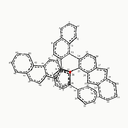 c1ccc(-c2ccc3ccccc3c2-c2ccc3cc4ccccc4cc3c2-c2c(-c3ccccc3)oc3c2ccc2c4ccccc4ccc23)cc1